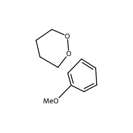 C1CCOOC1.COc1ccccc1